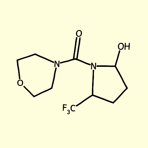 O=C(N1CCOCC1)N1C(O)CCC1C(F)(F)F